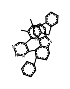 Cc1c(-c2cnnnc2-c2c(-c3ccccc3)ccc3sc4ccccc4c23)nc2c(c1C)-c1ccccc1C2